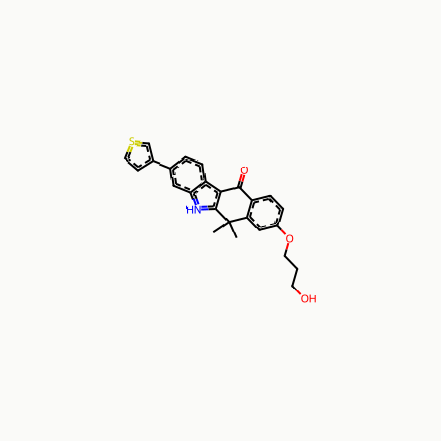 CC1(C)c2cc(OCCCO)ccc2C(=O)c2c1[nH]c1cc(-c3ccsc3)ccc21